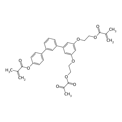 C=C(C)C(=O)OCCOc1cc(OCCOC(=O)C(C)=O)cc(-c2cccc(-c3ccc(OC(=O)C(=C)C)cc3)c2)c1